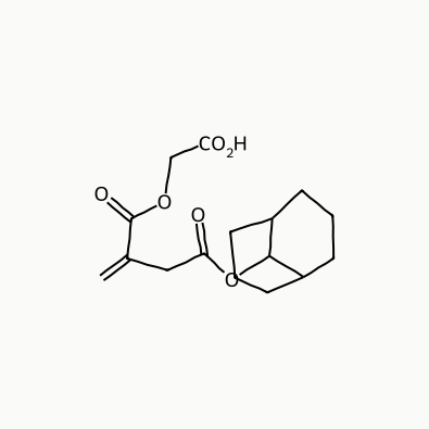 C=C(CC(=O)OC1C2CCCC1CCC2)C(=O)OCC(=O)O